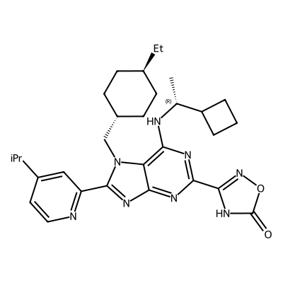 CC[C@H]1CC[C@H](Cn2c(-c3cc(C(C)C)ccn3)nc3nc(-c4noc(=O)[nH]4)nc(N[C@H](C)C4CCC4)c32)CC1